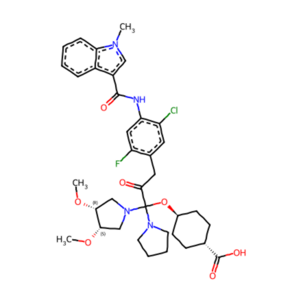 CO[C@H]1CN(C(O[C@H]2CC[C@H](C(=O)O)CC2)(C(=O)Cc2cc(Cl)c(NC(=O)c3cn(C)c4ccccc34)cc2F)N2CCCC2)C[C@H]1OC